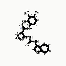 O=C(Nc1nonc1/C(=N/O)Nc1ccc(F)c(Br)c1)Nc1csc2ccccc12